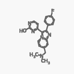 CN(C)Cc1ccn2c(-c3ccnc(O)n3)c(-c3ccc(F)cc3)nc2c1